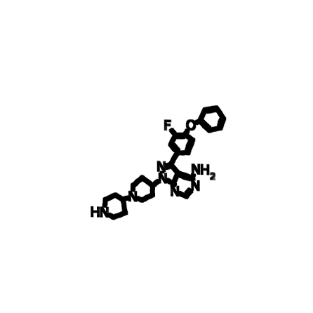 Nc1ncnc2c1c(-c1ccc(Oc3ccccc3)c(F)c1)nn2C1CCN(C2CCNCC2)CC1